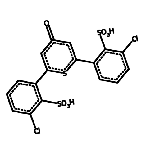 O=c1cc(-c2cccc(Cl)c2S(=O)(=O)O)sc(-c2cccc(Cl)c2S(=O)(=O)O)c1